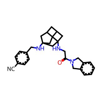 N#Cc1ccc(CNC23CC4CC5CC(NCC(=O)N6Cc7ccccc7C6)(C2)C45C3)cc1